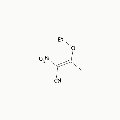 CCOC(C)=C(C#N)[N+](=O)[O-]